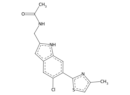 CC(=O)NCc1cc2cc(Cl)c(-c3nc(C)cs3)cc2[nH]1